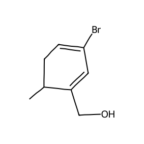 CC1CC=C(Br)C=C1CO